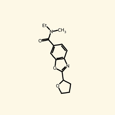 CCN(C)C(=O)c1ccc2nc(C3CCCO3)oc2c1